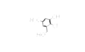 Cc1cc(C)c(Cl)c(CO)c1